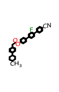 CC1CCC(c2ccc(CC(=O)Oc3ccc(-c4ccc(-c5ccc(C#N)cc5)c(F)c4)cc3)cc2)CC1